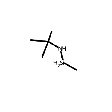 C[SiH2]NC(C)(C)C